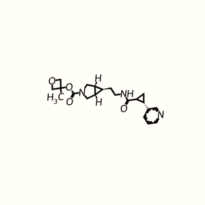 CC1(OC(=O)N2C[C@@H]3[C@@H](CCNC(=O)C4C[C@@H]4c4cccnc4)[C@@H]3C2)COC1